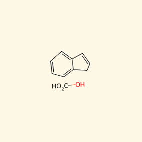 C1=Cc2ccccc2C1.O=C(O)O